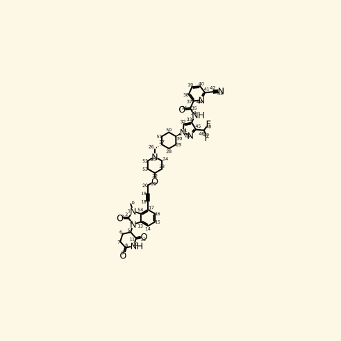 Cn1c(=O)n(C2CCC(=O)NC2=O)c2cccc(C#CCOC3CCN(C[C@H]4CC[C@H](n5cc(NC(=O)c6cccc(C#N)n6)c(C(F)F)n5)CC4)CC3)c21